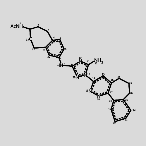 CC(=O)NC1CCc2ccc(Nc3nc(N)n(-c4cc5c(nn4)-c4ccccc4CCC5)n3)cc2CC1